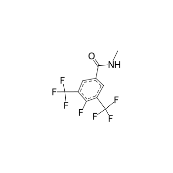 CNC(=O)c1cc(C(F)(F)F)c(F)c(C(F)(F)F)c1